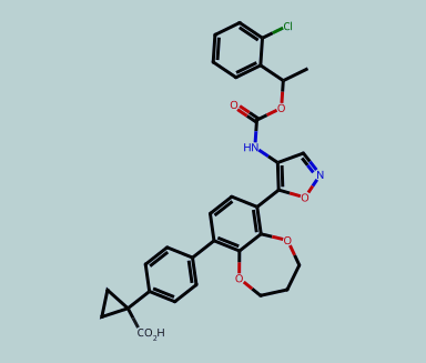 CC(OC(=O)Nc1cnoc1-c1ccc(-c2ccc(C3(C(=O)O)CC3)cc2)c2c1OCCCO2)c1ccccc1Cl